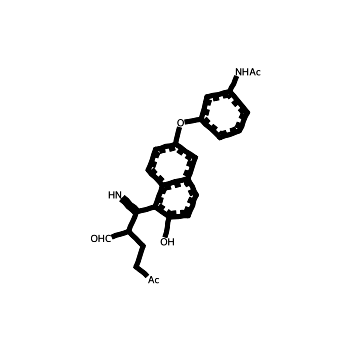 CC(=O)CCC(C=O)C(=N)c1c(O)ccc2cc(Oc3cccc(NC(C)=O)c3)ccc12